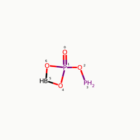 O=P1(OP)OBO1